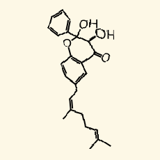 CC(C)=CCCC(C)=CCc1ccc2c(c1)C(=O)C(O)C(O)(c1ccccc1)O2